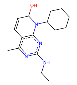 CCNc1nc(C)c2c(n1)N(C1CCCCC1)C(O)C=C2